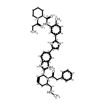 CCC(=O)N1CCCC[C@H]1C(=O)Nc1cc(-c2ncc(-c3ccc4nc([C@@H]5C#CCC(CNC)N5C(=O)Cc5ccccc5)[nH]c4c3)o2)ccc1C